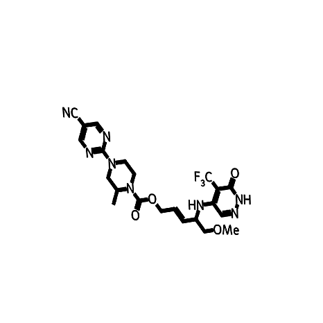 COCC(/C=C/COC(=O)N1CCN(c2ncc(C#N)cn2)CC1C)Nc1cn[nH]c(=O)c1C(F)(F)F